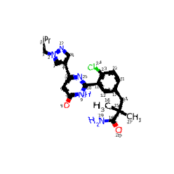 CC(C)Cn1cc(-c2cc(=O)[nH]c(-c3cc(CC(C)(C)C(N)=O)ccc3Cl)n2)cn1